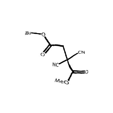 CCC(C)OC(=O)CC(C#N)(C#N)C(=O)OC